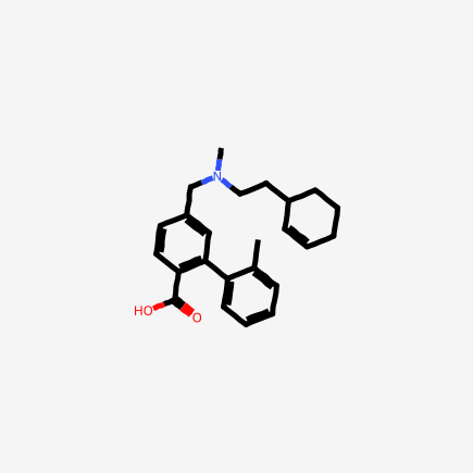 Cc1ccccc1-c1cc(CN(C)CCC2C=CCCC2)ccc1C(=O)O